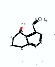 C=Cc1cccc2c1C(=O)CCC2